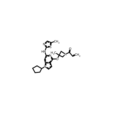 C=CC(=O)N1CC(C)(Oc2nc(Nc3ncc(C)s3)cc3c2ccn3C2CCCC2)C1